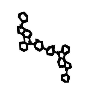 c1ccc(-n2ccc3c4c5ccccc5n(-c5ccc(-c6ccc(-n7c8ccccc8c8c9ccn(-c%10ccccc%10)c9ccc87)nc6)cn5)c4ccc32)cc1